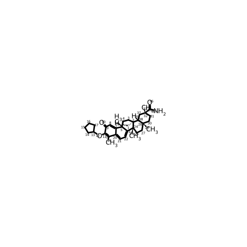 CC[C@@]12CC[C@@]3(C)C4=CC(=O)C(OC5CCCC5)=C(C)C4=CC=C3[C@@]1(C)CC[C@@]1(C)CC[C@@](C)(C(N)=O)C[C@H]12